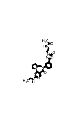 CCNc1ncc2c(n1)N1CCCC1CN(c1cccc(-c3nn(CCNC(C)=O)c(=O)o3)c1)C2=O